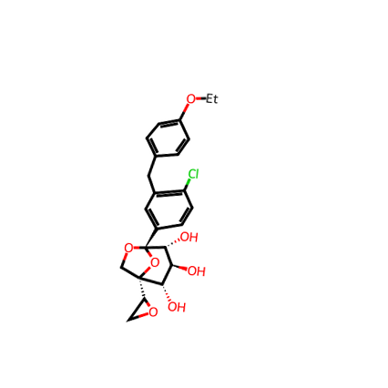 CCOc1ccc(Cc2cc([C@]34OC[C@@](C5CO5)(O3)[C@@H](O)[C@H](O)[C@H]4O)ccc2Cl)cc1